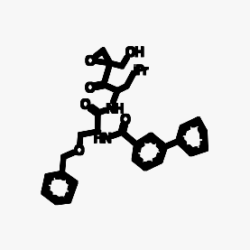 CC(C)CC(NC(=O)C(COCc1ccccc1)NC(=O)c1cccc(-c2ccccc2)c1)C(=O)C1(CO)CO1